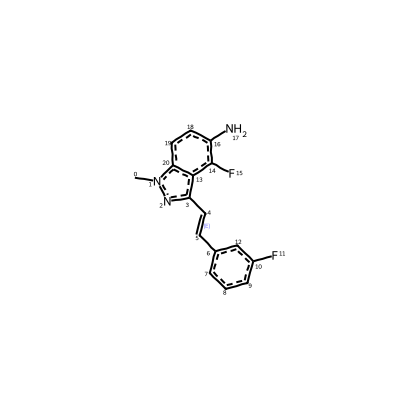 Cn1nc(/C=C/c2cccc(F)c2)c2c(F)c(N)ccc21